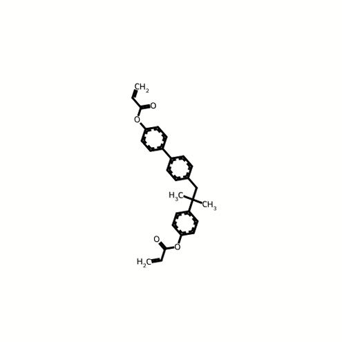 C=CC(=O)Oc1ccc(-c2ccc(CC(C)(C)c3ccc(OC(=O)C=C)cc3)cc2)cc1